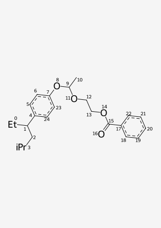 CCC(CC(C)C)c1ccc(OC(C)OCCOC(=O)c2ccccc2)cc1